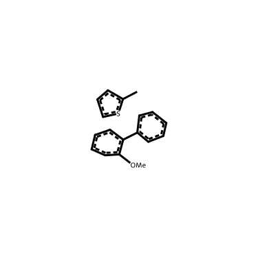 COc1ccccc1-c1ccccc1.Cc1cccs1